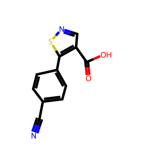 N#Cc1ccc(-c2sncc2C(=O)O)cc1